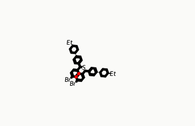 CC[C@H]1CC[C@H](c2ccc(C(SC(c3ccc(Br)cc3)c3ccc([C@H]4CC[C@H](CC)CC4)cc3)c3ccc(Br)cc3)cc2)CC1